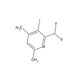 Cc1cc(C)c(I)c(C(F)F)n1